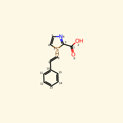 O=C(O)C1=NC=C[SH]1C=Cc1ccccc1